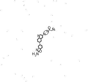 CN(C)CC(=O)N1CCN(c2cnc3ccc(-c4ccc5oc(N)nc5c4)cc3c2)CC1